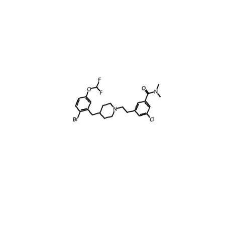 CN(C)C(=O)c1cc(Cl)cc(CCN2CCC(Cc3cc(OC(F)F)ccc3Br)CC2)c1